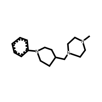 CN1CCN(CC2CCN(c3ccccc3)CC2)CC1